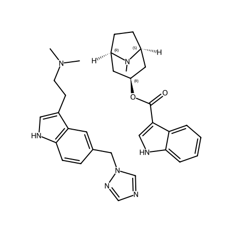 CN(C)CCc1c[nH]c2ccc(Cn3cncn3)cc12.CN1[C@@H]2CC[C@H]1C[C@@H](OC(=O)c1c[nH]c3ccccc13)C2